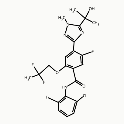 Cn1nc(-c2cc(OCC(C)(F)F)c(C(=O)Nc3c(F)cccc3Cl)cc2F)nc1C(C)(C)O